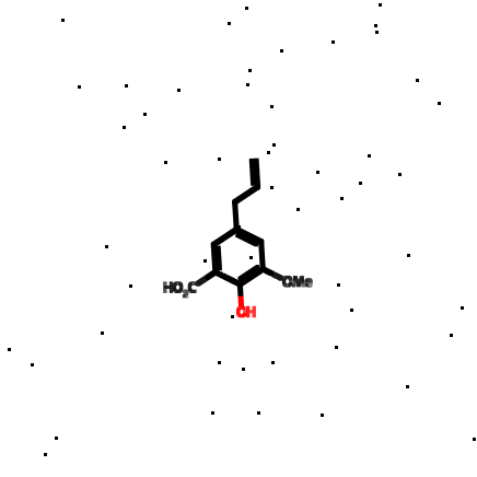 C=CCc1cc(OC)c(O)c(C(=O)O)c1